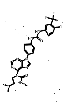 CNC(=O)N(CCN(C)C)c1ncnc2c1ncn2-c1ccc(NC(=O)Nc2ccc(Cl)c(C(F)(F)F)c2)cc1